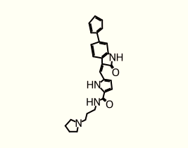 O=C1Nc2cc(-c3ccccc3)ccc2C1=Cc1ccc(C(=O)NCCCN2CCCC2)[nH]1